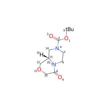 CC(C)(C)OC(=O)N1CCN2C(=O)COC[C@@H]2C1